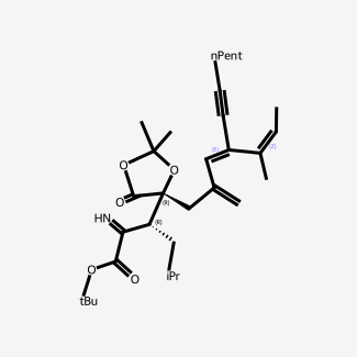 C=C(/C=C(C#CCCCCC)\C(C)=C/C)C[C@]1([C@H](CC(C)C)C(=N)C(=O)OC(C)(C)C)OC(C)(C)OC1=O